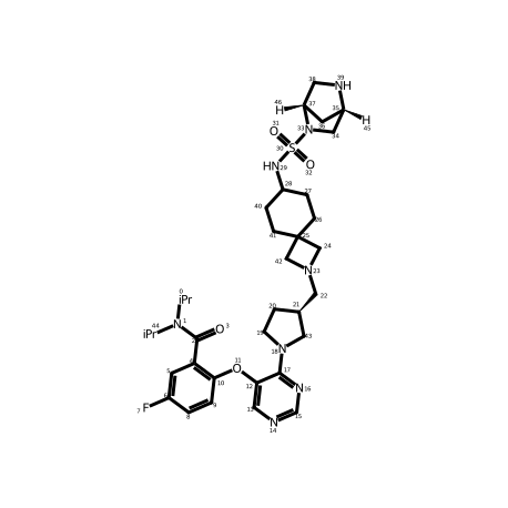 CC(C)N(C(=O)c1cc(F)ccc1Oc1cncnc1N1CC[C@@H](CN2CC3(CCC(NS(=O)(=O)N4C[C@@H]5C[C@H]4CN5)CC3)C2)C1)C(C)C